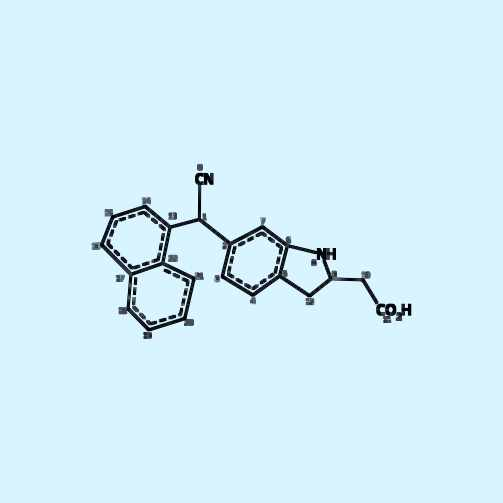 N#CC(c1ccc2c(c1)NC(CC(=O)O)C2)c1cccc2ccccc12